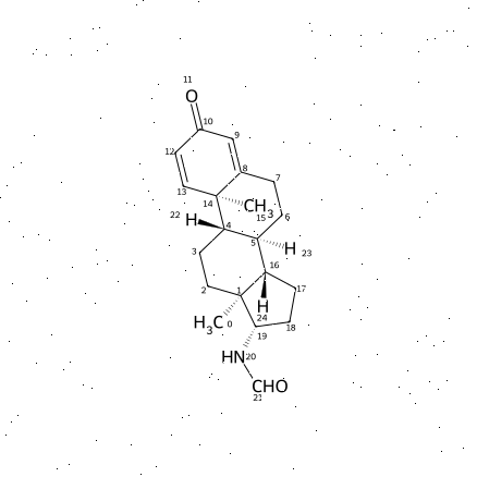 C[C@]12CC[C@H]3[C@@H](CCC4=CC(=O)C=C[C@@]43C)[C@@H]1CC[C@@H]2NC=O